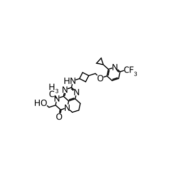 CN1c2nc(NC3CC(COc4ccc(C(F)(F)F)nc4C4CC4)C3)nc3c2N(CCC3)C(=O)C1CO